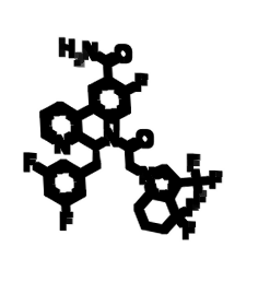 NC(=O)c1cc(-c2cccnc2[C@H](Cc2cc(F)cc(F)c2)NC(=O)Cn2cc(C(F)(F)F)c3c2CCCC3(F)F)ccc1F